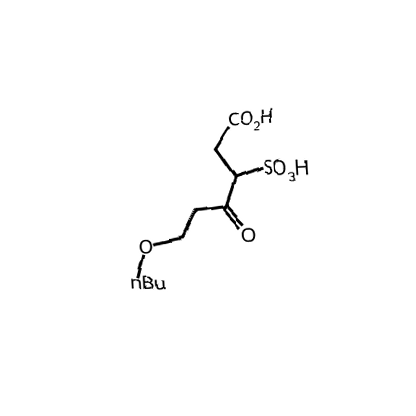 CCCCOCCC(=O)C(CC(=O)O)S(=O)(=O)O